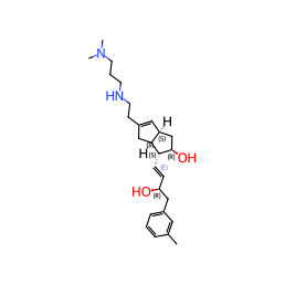 Cc1cccc(C[C@@H](O)/C=C/[C@@H]2[C@H]3CC(CCNCCCN(C)C)=C[C@H]3C[C@H]2O)c1